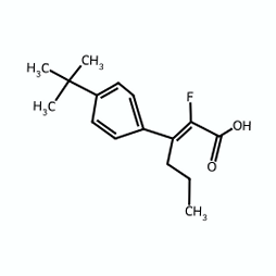 CCCC(=C(F)C(=O)O)c1ccc(C(C)(C)C)cc1